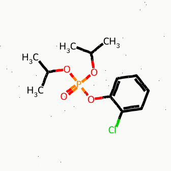 CC(C)OP(=O)(Oc1ccccc1Cl)OC(C)C